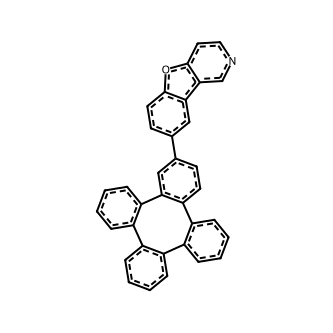 c1ccc2c(c1)-c1ccccc1-c1ccc(-c3ccc4oc5ccncc5c4c3)cc1-c1ccccc1-2